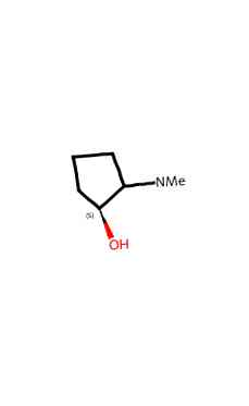 [CH2]NC1CCC[C@@H]1O